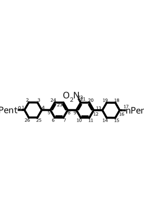 CCCCCC1CCC(c2ccc(-c3ccc(C4CCC(CCCCC)CC4)cc3[N+](=O)[O-])cc2)CC1